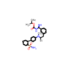 CCC(Cc1cccc(C(=N)NC(=O)OC(C)OC(C)=O)c1)N(C(=O)O)c1ccc(-c2ccccc2S(N)(=O)=O)cc1